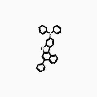 C1=CCCC(N(C2=CC3Oc4cc(-c5ccccc5)c5ccccc5c4C3C=C2)C2C=CC=CC2)=C1